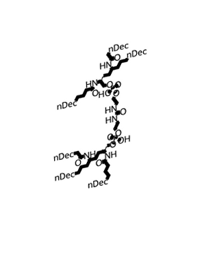 CCCCCCCCCCCCCC(=O)N[C@H](CCC(CCCCCCCCCCCCC)NC(=O)CCCCCCCCCCC)COP(=O)(O)OCCNC(=O)NCCOP(=O)(O)OC[C@@H](CCC(CCCCCCCCCCCCC)NC(=O)CCCCCCCCCCC)NC(=O)CCCCCCCCCCCCC